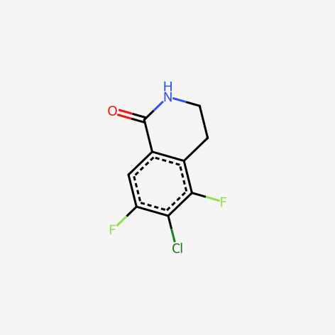 O=C1NCCc2c1cc(F)c(Cl)c2F